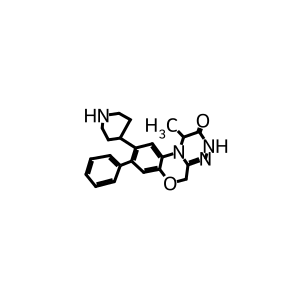 CC1C(=O)NN=C2COc3cc(-c4ccccc4)c(C4CCNCC4)cc3N21